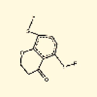 O=C1CCOc2c(SF)ccc(SF)c21